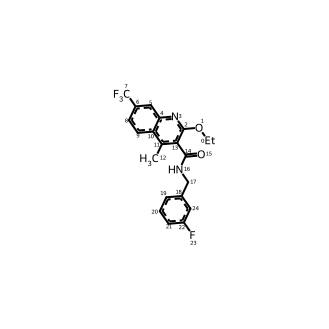 CCOc1nc2cc(C(F)(F)F)ccc2c(C)c1C(=O)NCc1cccc(F)c1